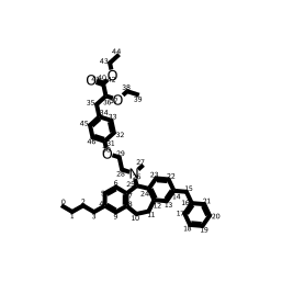 CCCCc1ccc2c(c1)CCc1cc(Cc3ccccc3)ccc1C2N(C)CCOc1ccc(CC(OCC)C(=O)OCC)cc1